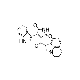 O=C1NC(=O)C(c2c[nH]c3ccccc23)=C1C(=O)C1CN2CCCc3cccc1c32